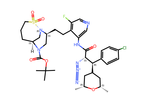 C[C@@H]1CC([C@H](c2ccc(Cl)cc2)[C@H](N=[N+]=[N-])C(=O)Nc2cncc(F)c2CC[C@H]2CN(C(=O)OC(C)(C)C)[C@H]3CCCS(=O)(=O)[N@@]2C3)C[C@H](C)O1